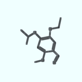 CCOc1cc(C=O)c(OC)cc1OC(C)C